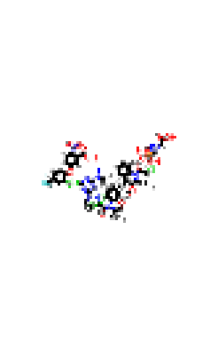 CC1COc2ccccc2N1C(=O)C(Cl)Cl.CCNc1nc(Cl)nc(NC(C)C)n1.CCc1cccc(C)c1N(C(=O)CCl)C(C)COC.O=C(O)CNCP(=O)(O)O.O=C(O)c1cc(Oc2ccc(C(F)(F)F)cc2Cl)ccc1[N+](=O)[O-]